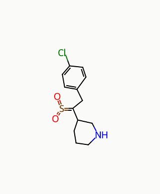 O=S(=O)=C(Cc1ccc(Cl)cc1)C1CCCNC1